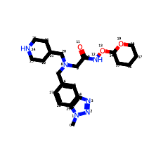 Cn1nnc2cc(CN(CC(=O)NOC3CCCCO3)CC3CCNCC3)ccc21